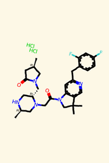 C[C@@H]1CC(=O)N(C[C@H]2CN[C@H](C)CN2CC(=O)N2CC(C)(C)c3cnc(Cc4ccc(F)cc4F)cc32)C1.Cl.Cl